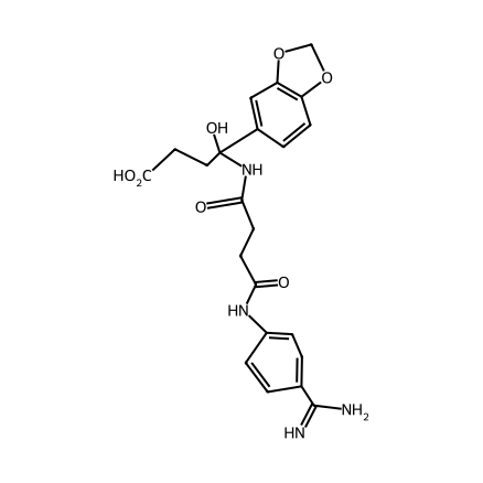 N=C(N)c1ccc(NC(=O)CCC(=O)NC(O)(CCC(=O)O)c2ccc3c(c2)OCO3)cc1